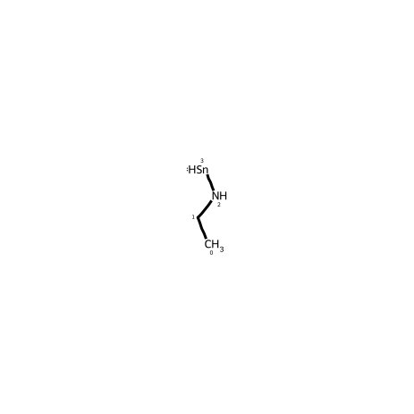 CC[NH][SnH]